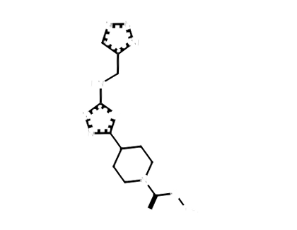 CC(C)(C)OC(=O)N1CCC(c2nnc(NCc3cnn[nH]3)o2)CC1